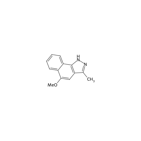 COc1cc2c(C)n[nH]c2c2ccccc12